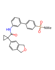 CNS(=O)(=O)c1ccc(-c2cccc(NC(=O)C3(c4ccc5c(c4)COC5)CC3)c2)cc1